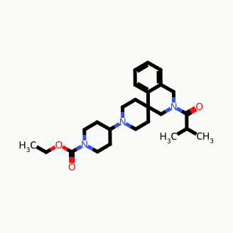 CCOC(=O)N1CCC(N2CCC3(CC2)CN(C(=O)C(C)C)Cc2ccccc23)CC1